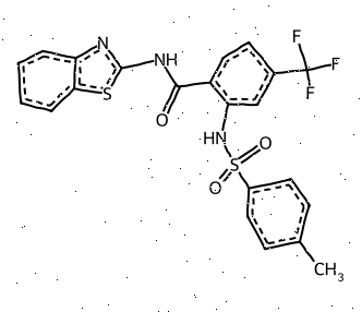 Cc1ccc(S(=O)(=O)Nc2cc(C(F)(F)F)ccc2C(=O)Nc2nc3ccccc3s2)cc1